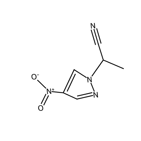 CC(C#N)n1cc([N+](=O)[O-])cn1